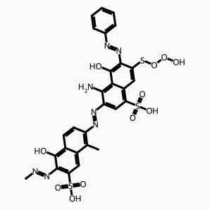 CN=Nc1c(S(=O)(=O)O)cc2c(C)c(N=Nc3cc(S(=O)(=O)O)c4cc(SOOO)c(N=Nc5ccccc5)c(O)c4c3N)ccc2c1O